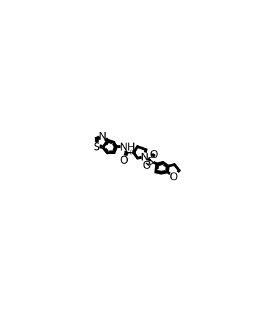 O=C(Nc1ccc2scnc2c1)[C@H]1CCN(S(=O)(=O)c2ccc3c(c2)CCO3)C1